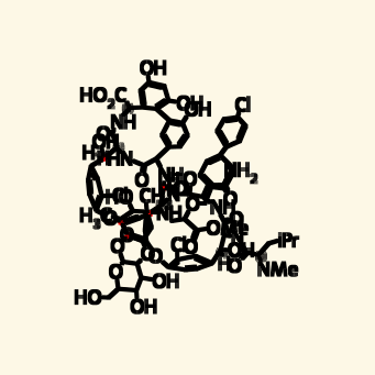 CN[C@H](CC(C)C)C(=O)NC1C(=O)NC(CC(N)=O)C(=O)N[C@H]2C(=O)NC3C(=O)N[C@H](C(=O)N[C@@H](C(=O)O)c4cc(O)cc(O)c4-c4cc3ccc4O)[C@H](O)c3ccc(c(Cl)c3)Oc3cc2cc(c3OC2OC(CO)C(O)C(O)C2OC2CC(C)(NCC(OCc3ccc(-c4ccc(Cl)cc4)cc3)C(=O)OC)C(O)C(C)O2)Oc2ccc(cc2Cl)[C@H]1O